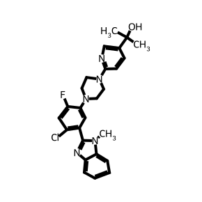 Cn1c(-c2cc(N3CCN(c4ccc(C(C)(C)O)cn4)CC3)c(F)cc2Cl)nc2ccccc21